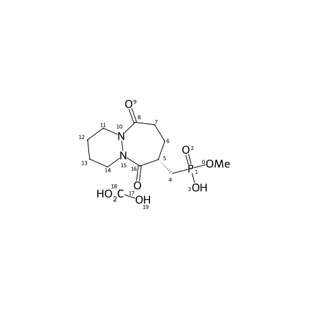 COP(=O)(O)C[C@H]1CCC(=O)N2CCCCN2C1=O.O=C(O)O